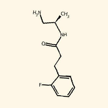 C[C@H](CN)NC(=O)CCc1ccccc1F